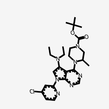 CCN(CC)c1cn(-c2cc(Cl)ccn2)c2ncnc(N3CCN(C(=O)OC(C)(C)C)CC3C)c12